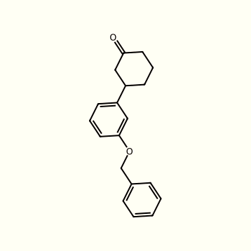 O=C1CCCC(c2cccc(OCc3ccccc3)c2)C1